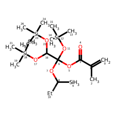 C=C(C)C(=O)OC(OC([SiH3])CC)(O[Si](C)(C)C)C(O[Si](C)(C)C)O[Si](C)(C)C